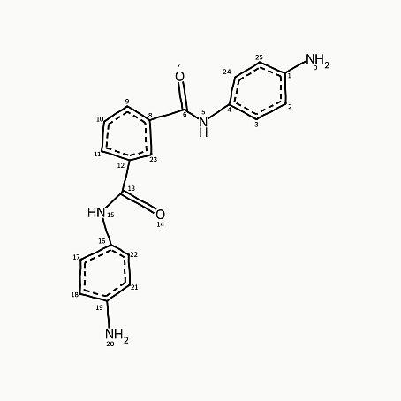 Nc1ccc(NC(=O)c2cccc(C(=O)Nc3ccc(N)cc3)c2)cc1